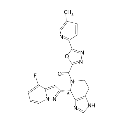 Cc1ccc(-c2nnc(C(=O)N3CCc4[nH]cnc4[C@@H]3c3cc4c(F)cccn4n3)o2)nc1